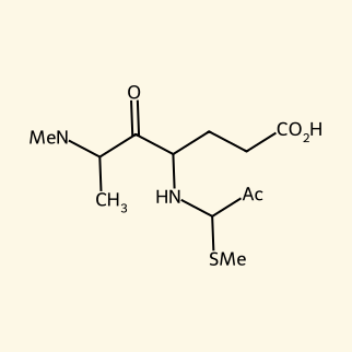 CNC(C)C(=O)C(CCC(=O)O)NC(SC)C(C)=O